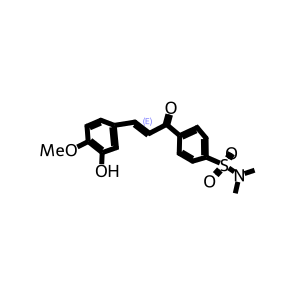 COc1ccc(/C=C/C(=O)c2ccc(S(=O)(=O)N(C)C)cc2)cc1O